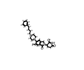 O=C1CCC(N2Cc3cc(N4CCN(CCCCc5ccccc5)CC4)c(F)cc3C2=O)C(=O)N1